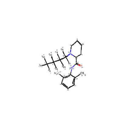 [2H]C([2H])([2H])C([2H])([2H])C([2H])([2H])C([2H])([2H])N1CCCCC1C(=O)Nc1c(C)cccc1C